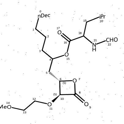 CCCCCCCCCCCCCC(C[C@@H]1OC(=O)[C@H]1OCCOC)OC(=O)C(CC(C)C)NC=O